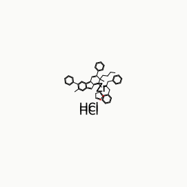 CCCCC1(C)C(c2ccccc2)=CC2=c3cc(-c4ccccc4)c(C)cc3=CC2=[C]1[Zr]([C]1=CC=CC1)=[C](Cc1ccccc1)Cc1ccccc1.Cl.Cl